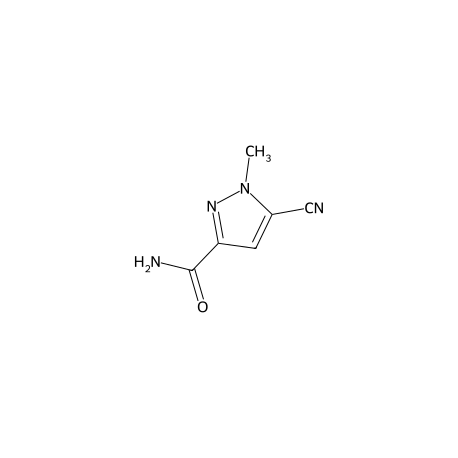 Cn1nc(C(N)=O)cc1C#N